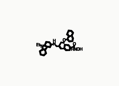 CCn1c2ccccc2c2cc(NCC(=Cc3ccc(C(=O)NO)cc3)CCOc3cccc4ccccc34)ccc21